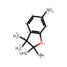 CCCCC1(C=O)Oc2cc([N+](=O)[O-])ccc2C1(C)C